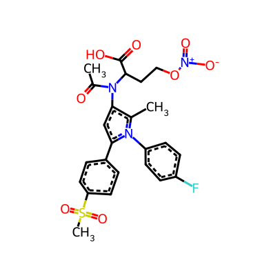 CC(=O)N(c1cc(-c2ccc(S(C)(=O)=O)cc2)n(-c2ccc(F)cc2)c1C)C(CCO[N+](=O)[O-])C(=O)O